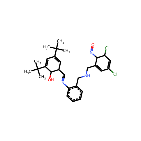 CC(C)(C)C1=CC(/C=N/c2ccccc2CNCC2=CC(Cl)=CC(Cl)C2N=O)C(O)C(C(C)(C)C)=C1